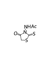 CC(=O)NN1C(=O)CSC1=S